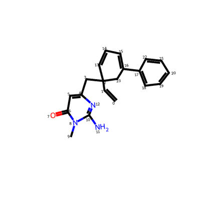 C=CC1(Cc2cc(=O)n(C)c(N)n2)C=CC=C(c2ccccc2)C1